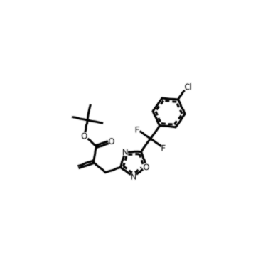 C=C(Cc1noc(C(F)(F)c2ccc(Cl)cc2)n1)C(=O)OC(C)(C)C